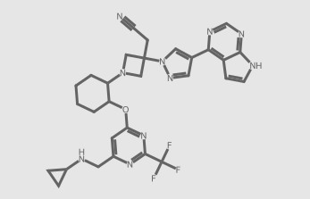 N#CCC1(n2cc(-c3ncnc4[nH]ccc34)cn2)CN(C2CCCCC2Oc2cc(CNC3CC3)nc(C(F)(F)F)n2)C1